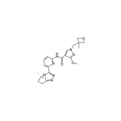 COc1nn(CC2(C)COC2)cc1C(=O)Nc1cccc(-c2nnc3n2[C@@H](C)CC3)n1